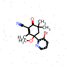 COC1(c2ncccc2Br)CC(C)(C)C(=O)C(C#N)=C1C